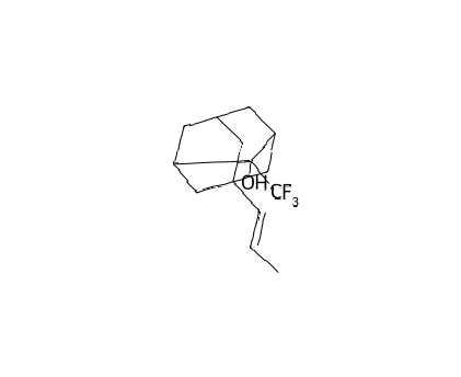 CC=CC12CC3CC(C1)C(O)(C(F)(F)F)C(C3)C2